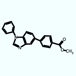 COC(=O)c1ccc(-c2ccc3c(c2)ncn3-c2ccccc2)cc1